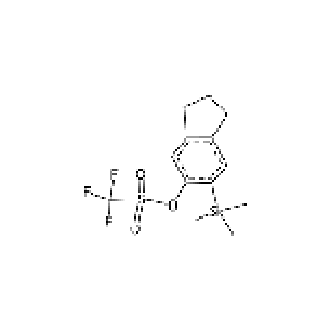 C[Si](C)(C)c1cc2c(cc1OS(=O)(=O)C(F)(F)F)CCC2